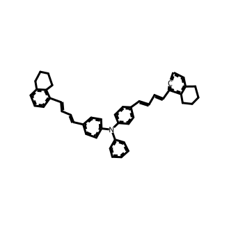 C(C=Cc1cccc2c1CCCC2)=Cc1ccc(N(c2ccccc2)c2ccc(C=CC=Cc3cccc4c3CCCC4)cc2)cc1